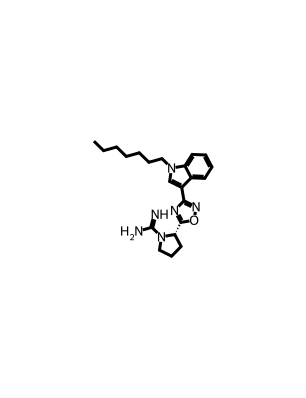 CCCCCCCn1cc(-c2noc([C@@H]3CCCN3C(=N)N)n2)c2ccccc21